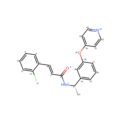 C[C@H](NC(=O)/C=C/c1ccccc1F)c1cccc(Oc2ccncc2)c1